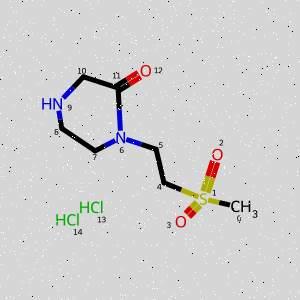 CS(=O)(=O)CCN1CCNCC1=O.Cl.Cl